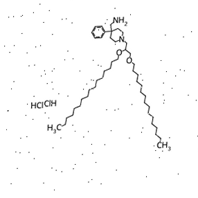 CCCCCCCCCCCCCCCCOCC(CN1CCC(CN)(c2ccccc2)CC1)OCCCCCCCCCCCCCCCC.Cl.Cl